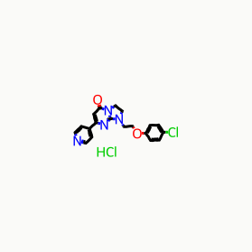 Cl.O=c1cc(-c2ccncc2)nc2n1CCN2CCOc1ccc(Cl)cc1